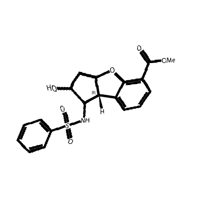 COC(=O)c1cccc2c1OC1CC(O)C(NS(=O)(=O)c3ccccc3)[C@@H]21